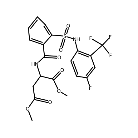 COC(=O)CC(NC(=O)c1ccccc1S(=O)(=O)Nc1ccc(F)cc1C(F)(F)F)C(=O)OC